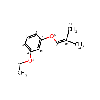 CCOc1cccc(OC=C(C)C)c1